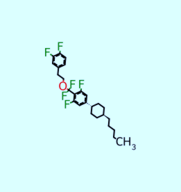 CCCCC[C@H]1CC[C@H](c2cc(F)c(C(F)(F)OCCc3ccc(F)c(F)c3)c(F)c2)CC1